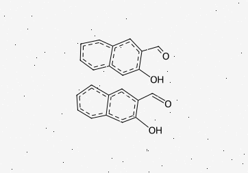 O=Cc1cc2ccccc2cc1O.O=Cc1cc2ccccc2cc1O